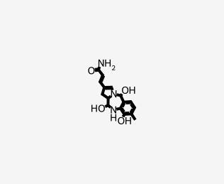 Cc1ccc2c(c1O)NC(O)C1CC(C=CC(N)=O)=CN1C2O